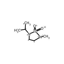 CC(C)N1CCN(C)S1(=O)=O